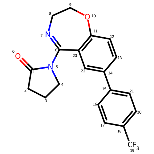 O=C1CCCN1C1=NCCOc2ccc(-c3ccc(C(F)(F)F)cc3)cc21